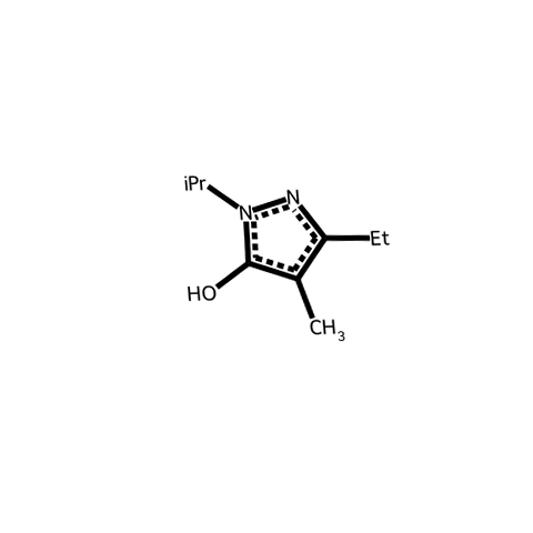 CCc1nn(C(C)C)c(O)c1C